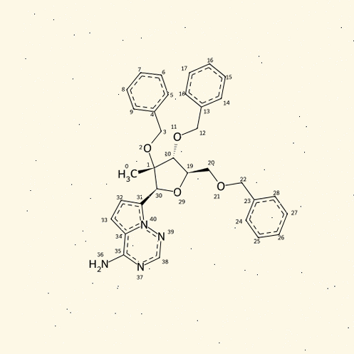 C[C@@]1(OCc2ccccc2)[C@H](OCc2ccccc2)[C@@H](COCc2ccccc2)O[C@H]1c1ccc2c(N)ncnn12